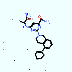 CC(Nc1cc(C(N)=O)nc(N2CCc3c(cccc3C3=CCCCC3)C2)n1)C(N)=O